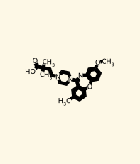 COc1ccc2c(c1)N=C(N1CCN(CCC(C)(C)C(=O)O)CC1)c1cc(C)ccc1O2